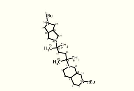 CC(C)(C)N1CCC2CCN(C(C)(C)CCC(C)(C)N3CC4CN(C(C)(C)C)CC4C3)CC2C1